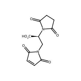 O=C(O)[C@H](CN1C(=O)C=CC1=O)N1C(=O)CCC1=O